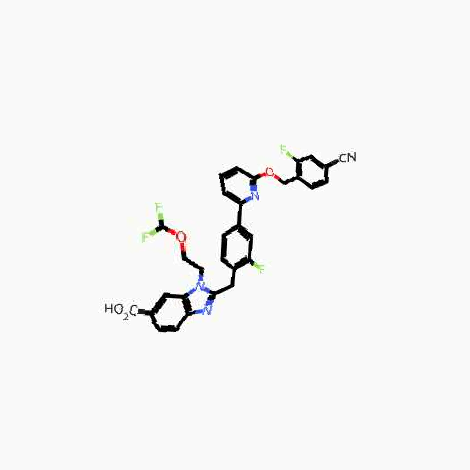 N#Cc1ccc(COc2cccc(-c3ccc(Cc4nc5ccc(C(=O)O)cc5n4CCOC(F)F)c(F)c3)n2)c(F)c1